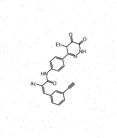 C#Cc1cccc(C=C(C(C)=O)C(=O)Nc2ccc(C3=NNC(=O)C(=O)C3CC)cc2)c1